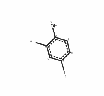 Oc1ccc(I)cc1I